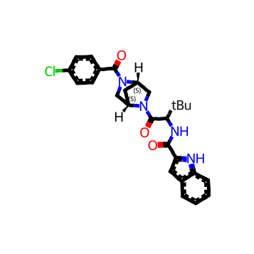 CC(C)(C)C(NC(=O)c1cc2ccccc2[nH]1)C(=O)N1C[C@@H]2C[C@H]1CN2C(=O)c1ccc(Cl)cc1